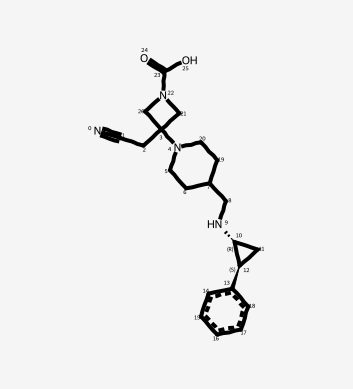 N#CCC1(N2CCC(CN[C@@H]3C[C@H]3c3ccccc3)CC2)CN(C(=O)O)C1